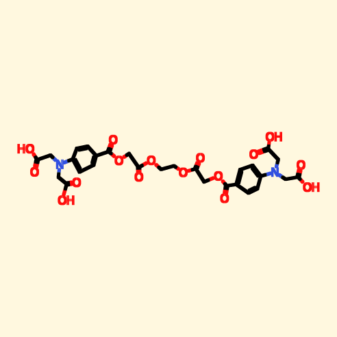 O=C(O)CN(CC(=O)O)c1ccc(C(=O)OCC(=O)OCCOC(=O)COC(=O)c2ccc(N(CC(=O)O)CC(=O)O)cc2)cc1